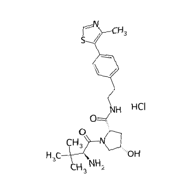 Cc1ncsc1-c1ccc(CCNC(=O)[C@@H]2C[C@H](O)CN2C(=O)[C@@H](N)C(C)(C)C)cc1.Cl